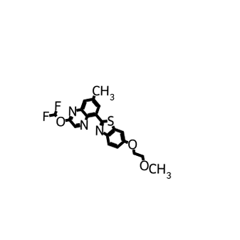 COCCOc1ccc2nc(-c3cc(C)cc4nc(OC(F)F)cnc34)sc2c1